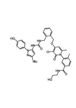 Cc1ccc(C(=O)NCCO)cc1-n1c(C)cc(OCc2ccccc2CNC(=O)Nc2cc(C(C)(C)C)nn2-c2ccc(O)cc2)c(Cl)c1=O